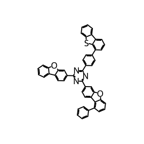 c1ccc(-c2cccc3oc4cc(-c5nc(-c6ccc(-c7cccc8c7sc7ccccc78)cc6)nc(-c6ccc7c(c6)oc6ccccc67)n5)ccc4c23)cc1